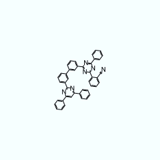 N#Cc1ccccc1-c1nc(-c2ccccc2)nc(-c2cccc(-c3cccc(-c4nc(-c5ccccc5)cc(-c5ccccc5)n4)c3)c2)n1